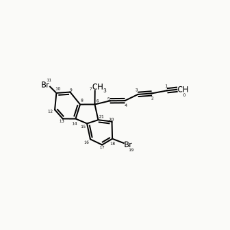 C#CC#CC#CC1(C)c2cc(Br)ccc2-c2ccc(Br)cc21